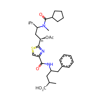 CC(=O)O[C@H](CC(C(C)C)N(C)C(=O)C1CCCC1)c1nc(C(=O)NC(Cc2ccccc2)CC(C)C(=O)O)cs1